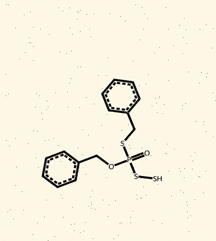 O=P(OCc1ccccc1)(SS)SCc1ccccc1